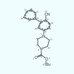 CC(C)(C)OC(=O)N1CCN(c2ccc(C#N)c(-c3ccccc3)c2)CC1